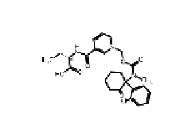 CC[C@H](NC(=O)c1ccc[n+](COC(=O)N(C)C2(c3ccccc3Cl)CCCCC2=O)c1)C(=O)O